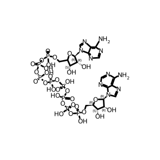 Nc1ncnc2c1ncn2[C@@H]1O[C@H](COP(=O)(O)OP(=O)(O)OP(=O)(O)OP(=O)(O)OP(=O)(O)OP(=O)(O)OP(=O)(O)OP(=O)(O)OCC2O[C@@H](n3cnc4c(N)ncnc43)[C@H](O)[C@@H]2O)[C@@H](O)[C@H]1O